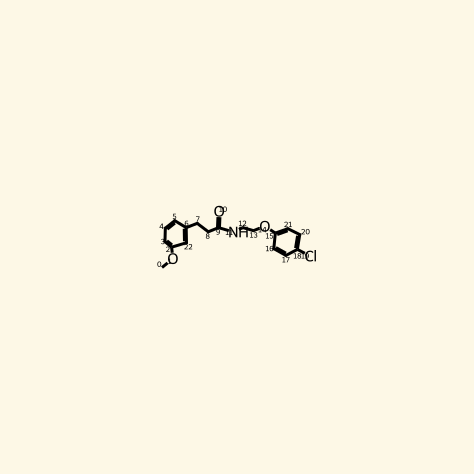 COc1cccc(CCC(=O)NCCOc2ccc(Cl)cc2)c1